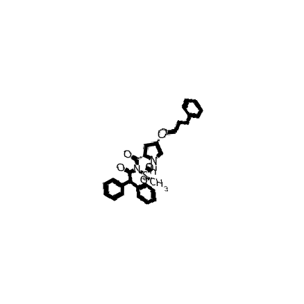 CS(=O)(=O)N(C(=O)C(c1ccccc1)c1ccccc1)C(=O)[C@@H]1C[C@H](OCCCc2ccccc2)CN1